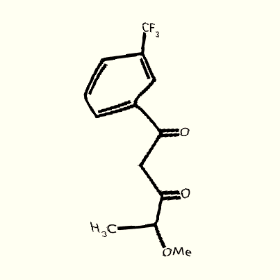 COC(C)C(=O)CC(=O)c1cccc(C(F)(F)F)c1